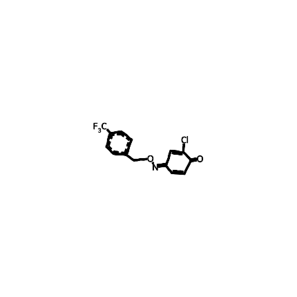 O=C1C=CC(=NOCc2ccc(C(F)(F)F)cc2)C=C1Cl